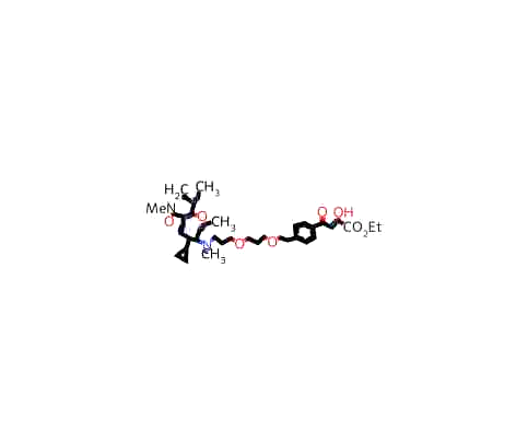 C=CC(=C\C)/C1=C(C(=O)NC)/C=C/C(C2CC2)C(N(C)CCCOCCCOCCc2ccc(C(=O)/C=C(\O)C(=O)OCC)cc2)/C=C(\C)O1